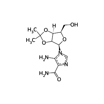 CC1(C)OC2[C@@H](O1)[C@@H](CO)O[C@H]2n1cnc(C(N)=O)c1N